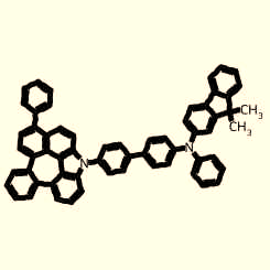 CC1(C)c2ccccc2-c2ccc(N(c3ccccc3)c3ccc(-c4ccc(-n5c6cccc7c6c6c8c(ccc(-c9ccccc9)c8ccc65)-c5ccccc5-7)cc4)cc3)cc21